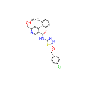 COc1ccccc1-c1cc(CO)ncc1C(=O)Nc1nnc(OCc2ccc(Cl)cc2)s1